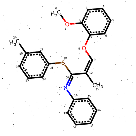 COc1ccccc1OC=C(C)C(=Nc1ccccc1)Sc1cccc(C)c1